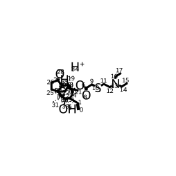 C=C[C@]1(C)C[C@@H](OC(=O)CSCCN(CC)CC)[C@@]2(C)C(C)CC[C@]3(CCC(=O)[C@H]32)[C@@H](C)[C@@H]1O.[H+]